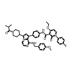 CCOc1ccn(-c2ccc(F)cc2)c(=O)c1C(=O)Nc1ccc(-c2cc(C3CCN(C(=O)C(C)C)CC3)n3ccnc(NCc4ccc(OC)cc4)c23)cc1